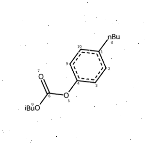 CCCCc1ccc(OC(=O)OCC(C)C)cc1